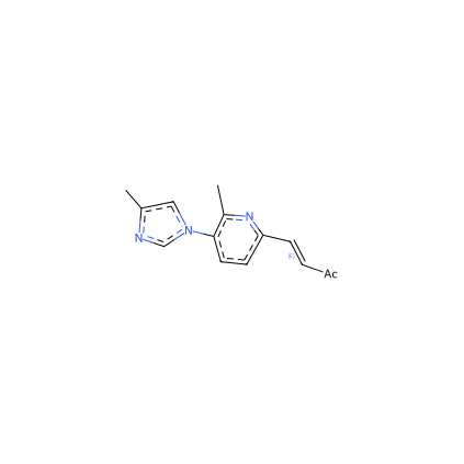 CC(=O)/C=C/c1ccc(-n2cnc(C)c2)c(C)n1